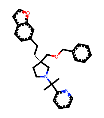 CC(C)(c1ccccn1)N1CC[C@@](CCc2ccc3ccoc3c2)(COCc2ccccc2)C1